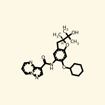 CC(C)(O)[C@@]1(C)Cc2cc(NC(=O)c3cnn4cccnc34)c(OC3CCCCC3)cc2O1